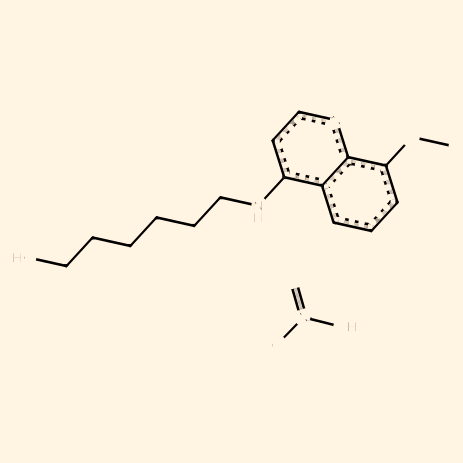 COc1cccc2c(NCCCCCCO)ccnc12.O=[N+]([O-])O